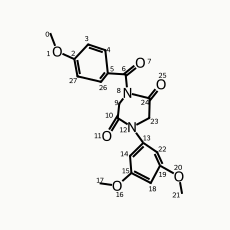 COc1ccc(C(=O)N2CC(=O)N(c3cc(OC)cc(OC)c3)CC2=O)cc1